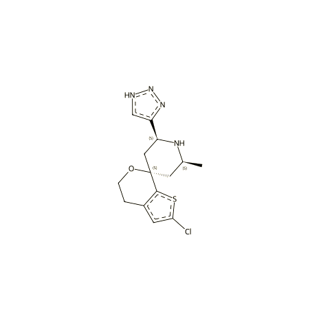 C[C@H]1C[C@@]2(C[C@@H](c3c[nH]nn3)N1)OCCc1cc(Cl)sc12